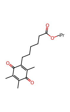 CC1=C(C)C(=O)C(CCCCCC(=O)OC(C)C)=C(C)C1=O